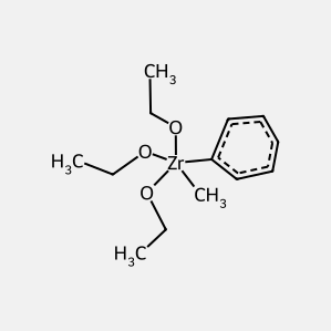 CC[O][Zr]([CH3])([O]CC)([O]CC)[c]1ccccc1